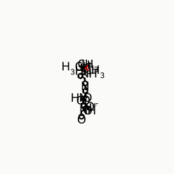 C[C@@H]1[C@@H](Nc2ccccc2C=C2CCN(c3ccc(C(=O)NS(=O)(=O)c4ccc(NCC5CCOCC5)c([N+](=O)[O-])c4)cc3)CC2)C[C@H]2C[C@@H]1C2(C)C